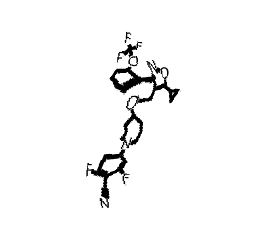 N#Cc1c(F)cc(N2CCC(OCc3c(-c4ccccc4OC(F)(F)F)noc3C3CC3)CC2)cc1F